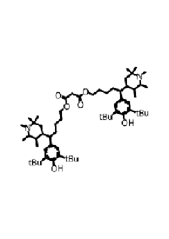 CC1C(C(CCCCOC(=O)CC(=O)OCCCCC(c2cc(C(C)(C)C)c(O)c(C(C)(C)C)c2)C2CC(C)(C)N(C)C(C)C2C)c2cc(C(C)(C)C)c(O)c(C(C)(C)C)c2)CC(C)(C)N(C)C1C